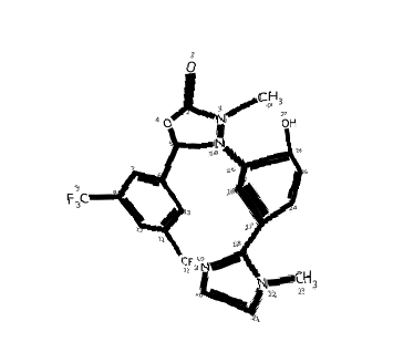 CN1C(=O)OC(c2cc(C(F)(F)F)cc(C(F)(F)F)c2)N1c1cc(-c2nccn2C)ccc1O